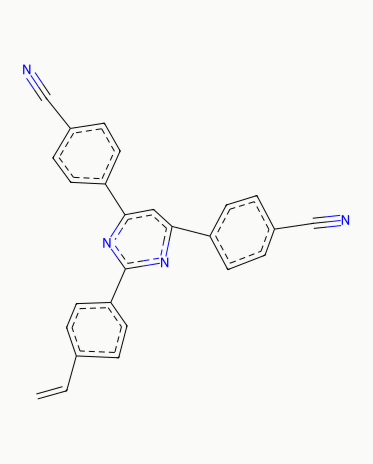 C=Cc1ccc(-c2nc(-c3ccc(C#N)cc3)cc(-c3ccc(C#N)cc3)n2)cc1